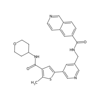 Cc1sc(-c2cncc(CNC(=O)c3ccc4cnccc4c3)c2)cc1C(=O)NC1CCOCC1